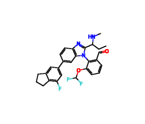 CCC(NC)c1nc2ccc(-c3cc(F)c4c(c3)CCC4)cc2n1-c1c(C=O)cccc1OC(F)F